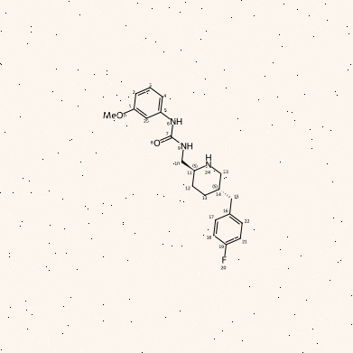 COc1cccc(NC(=O)NC[C@@H]2CC[C@@H](Cc3ccc(F)cc3)CN2)c1